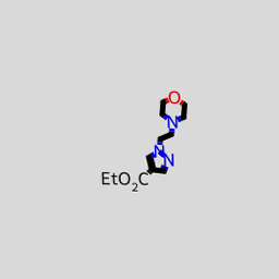 CCOC(=O)c1cnn(CCN2CCOCC2)c1